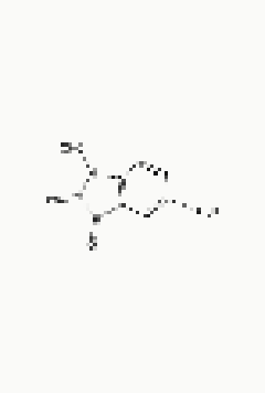 O=CN1C(=O)C(=O)c2cc(S(=O)(=O)O)ccc21